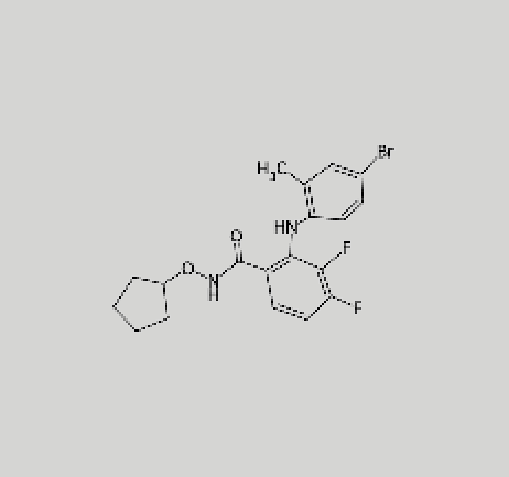 Cc1cc(Br)ccc1Nc1c(C(=O)NOC2CCCC2)ccc(F)c1F